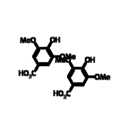 COc1cc(C(=O)O)cc(OC)c1O.COc1cc(C(=O)O)cc(OC)c1O